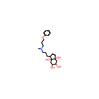 CN(CCCOc1ccccc1)CCCC1CCC2(O)CC(O)C(O)CC12O